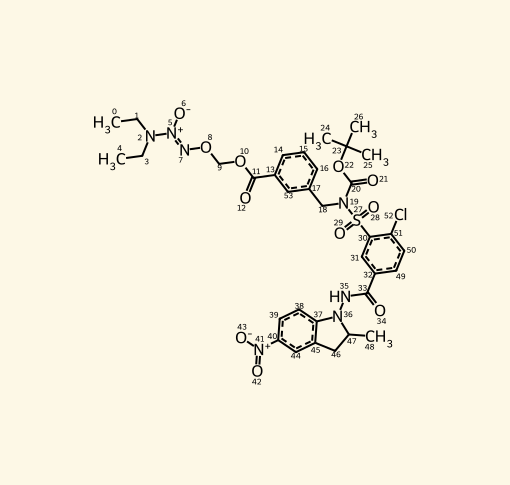 CCN(CC)[N+]([O-])=NOCOC(=O)c1cccc(CN(C(=O)OC(C)(C)C)S(=O)(=O)c2cc(C(=O)NN3c4ccc([N+](=O)[O-])cc4CC3C)ccc2Cl)c1